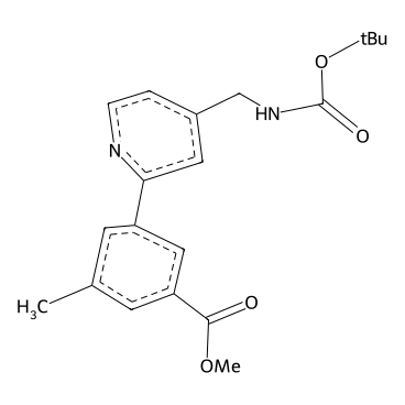 COC(=O)c1cc(C)cc(-c2cc(CNC(=O)OC(C)(C)C)ccn2)c1